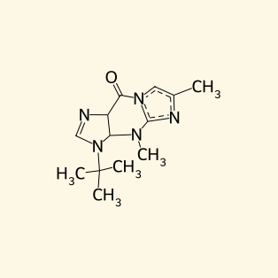 Cc1cn2c(n1)N(C)C1C(N=CN1C(C)(C)C)C2=O